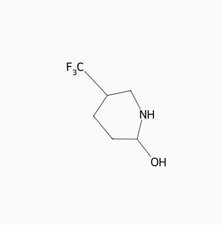 OC1CCC(C(F)(F)F)CN1